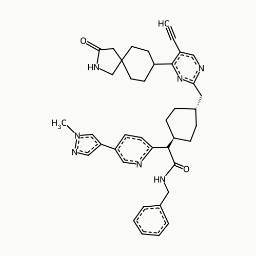 C#Cc1cnc(C[C@H]2CC[C@H](C(C(=O)NCc3ccccc3)c3ccc(-c4cnn(C)c4)cn3)CC2)nc1C1CCC2(CC1)CNC(=O)C2